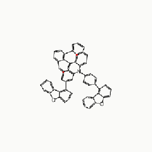 c1ccc(-c2cccc3cccc(-c4ccccc4N(c4ccc(-c5cccc6oc7ccccc7c56)cc4)c4cccc(-c5cccc6oc7ccccc7c56)c4)c23)cc1